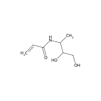 C=CC(=O)NC(C)C(O)CO